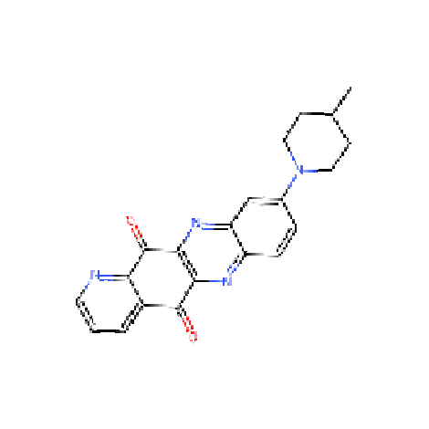 CC1CCN(c2ccc3nc4c(nc3c2)C(=O)c2ncccc2C4=O)CC1